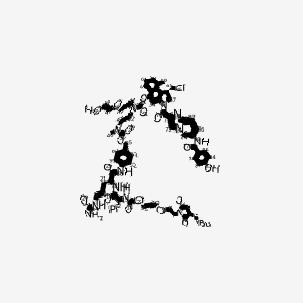 CCC(C)SC1CC(=O)N(CCOCCOC(=O)N[C@H](C(=O)N[C@@H](CCCNC(N)=O)C(=O)Nc2ccc(COC(=O)N(C)CCN(CCOCCO)C(=O)Oc3cc4c(c5c(C)cccc35)[C@H](CCl)CN4C(=O)c3cn4cc(NC(=O)c5ccc(O)cc5)ccc4n3)cc2)C(C)C)C1=O